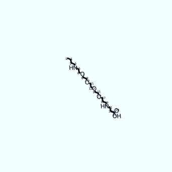 CCCCNCCOCCOCCOCCOCCCNCCC(=O)O